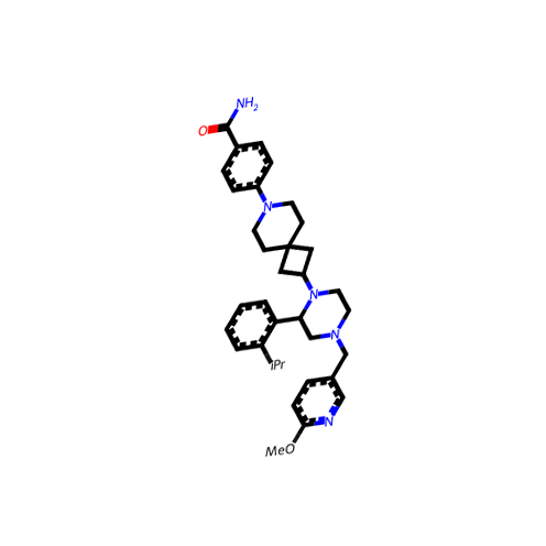 COc1ccc(CN2CCN(C3CC4(CCN(c5ccc(C(N)=O)cc5)CC4)C3)C(c3ccccc3C(C)C)C2)cn1